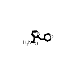 NC(=O)c1cccnc1CC1CCOCC1